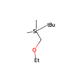 [CH2]COC[Si](C)(C)C(C)(C)C